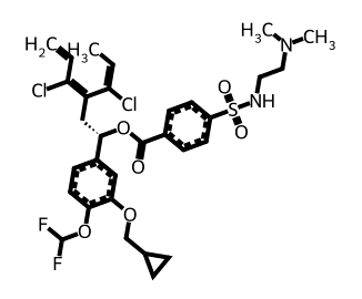 C=C/C(Cl)=C(C[C@H](OC(=O)c1ccc(S(=O)(=O)NCCN(C)C)cc1)c1ccc(OC(F)F)c(OCC2CC2)c1)\C(Cl)=C/C